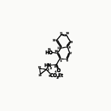 CCOC(=O)C1(NC(=O)c2ccc3ccccc3c2O)CC1